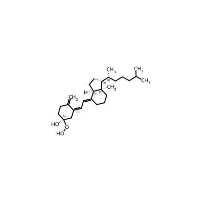 C=C1CC[C@](O)(OO)C/C1=C/C=C1CCC[C@@]2(C)[C@@H]1CC[C@@H]2[C@H](C)CCCC(C)C